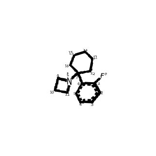 Fc1ccccc1C1(N2CCC2)CCCCC1